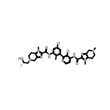 Cc1c(NC(=O)c2nc3c(n2C)CCN(C[C@H](C)O)C3)cc(Cl)cc1-c1nccc(NC(=O)c2nc3c(n2C)CCN(C)C3)c1Cl